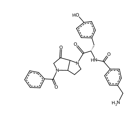 NCc1ccc(C(=O)N[C@@H](Cc2ccc(O)cc2)C(=O)N2CCC3C2C(=O)CN3C(=O)c2ccccc2)cc1